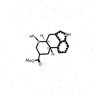 CCCN1CC(C(=O)OC)C[C@H]2c3cccc4[nH]cc(c34)C[C@@H]21